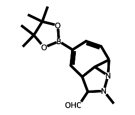 CN1C(C=O)C2C=C(B3OC(C)(C)C(C)(C)O3)C=CC3C2N31